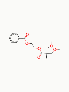 COCC(C)(COC)C(=O)OCCOC(=O)c1ccccc1